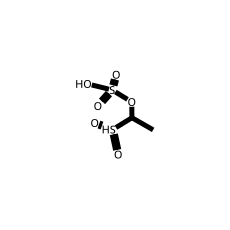 CC(OS(=O)(=O)O)[SH](=O)=O